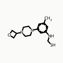 Cc1cc(NCS)cc(N2CCN(C3COC3)CC2)c1